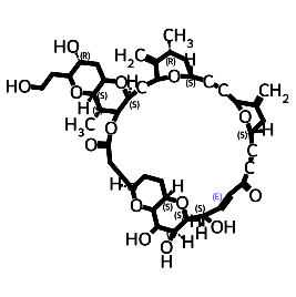 C=C1C[C@@H]2CCC(=O)/C=C/[C@H](O)[C@@H]3O[C@H]4CC[C@H](CC(=O)OC5[C@H](CC6O[C@@H](CCC1O2)C[C@@H](C)C6=C)OC1C[C@@H](O)C(CCO)O[C@H]1[C@@H]5C)OC4C(O)[C@@H]3O